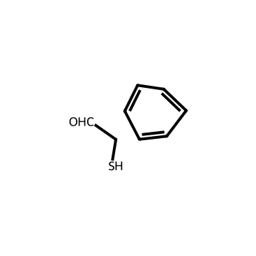 O=CCS.c1ccccc1